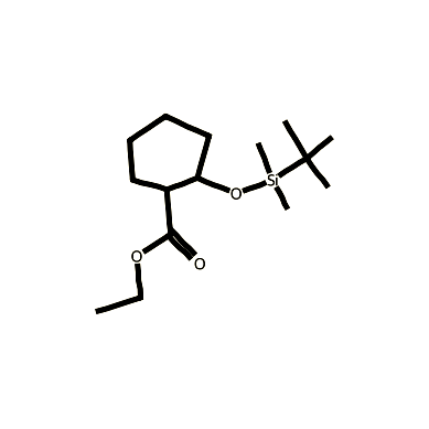 CCOC(=O)C1CCCCC1O[Si](C)(C)C(C)(C)C